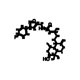 C=C1CCC2C(C(C)CC(O)C2(C)C)C1CCC(C)=CC(=O)NCc1cc(-c2ccc(F)cc2)no1